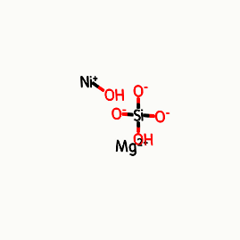 [Mg+2].[O-][Si]([O-])([O-])O.[OH][Ni+]